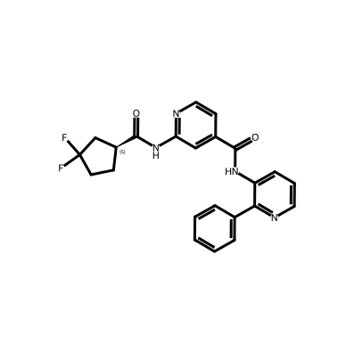 O=C(Nc1cccnc1-c1ccccc1)c1ccnc(NC(=O)[C@H]2CCC(F)(F)C2)c1